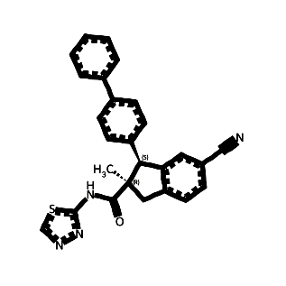 C[C@@]1(C(=O)Nc2nncs2)Cc2ccc(C#N)cc2[C@@H]1c1ccc(-c2ccccc2)cc1